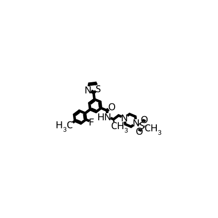 Cc1ccc(-c2cc(C(=O)N[C@H](C)CN3CCN(S(C)(=O)=O)CC3)cc(-c3nccs3)c2)c(F)c1